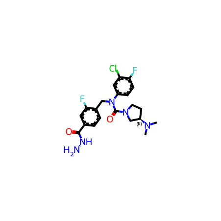 CN(C)[C@@H]1CCN(C(=O)N(Cc2ccc(C(=O)NN)cc2F)c2ccc(F)c(Cl)c2)C1